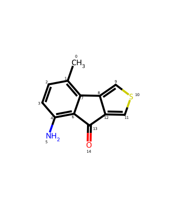 Cc1ccc(N)c2c1-c1cscc1C2=O